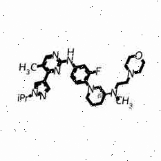 Cc1cnc(Nc2ccc(N3CCC[C@H](N(C)CCN4CCOCC4)C3)c(F)c2)nc1-c1cnn(C(C)C)c1